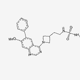 COc1cc2ncnc(N3CC(CCNS(N)(=O)=O)C3)c2cc1-c1ccccc1